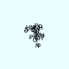 CC(C)[C@H](NC(=O)CCc1ccccn1)C(=O)N[C@@H](Cc1ccccc1)C(=O)C(F)(F)[C@H](Cc1ccccc1)NC(=O)[C@@H](NC(=O)CCc1ccccn1)C(C)C